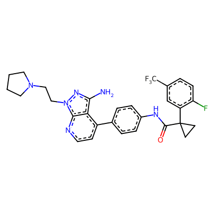 Nc1nn(CCN2CCCC2)c2nccc(-c3ccc(NC(=O)C4(c5cc(C(F)(F)F)ccc5F)CC4)cc3)c12